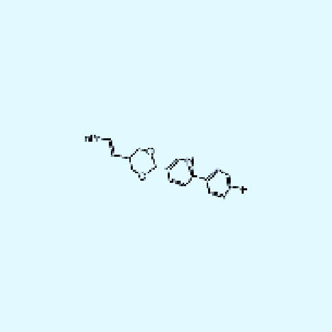 CCC/C=C/[C@H]1CO[C@H](c2ccc(-c3ccc(F)cc3)nc2)OC1